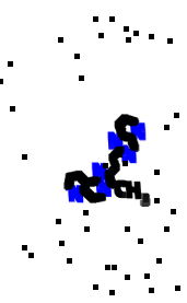 Cc1c(CCc2ncc3ncccc3n2)nc2c3cccnc3ccn12